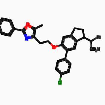 CCC(C(=O)O)C1CCc2cc(OCCc3nc(-c4ccccc4)oc3C)c(-c3ccc(Cl)cc3)cc21